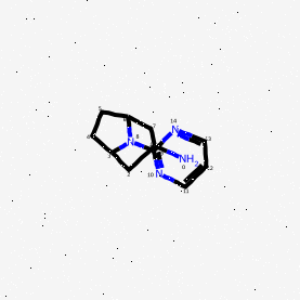 NC1CC2CCC(C1)N2c1ncccn1